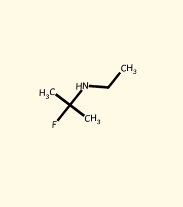 CCNC(C)(C)F